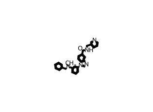 CN(Cc1ccccc1)c1cccc(-n2cnc3cc(C(=O)NCc4cccnc4)ccc32)c1